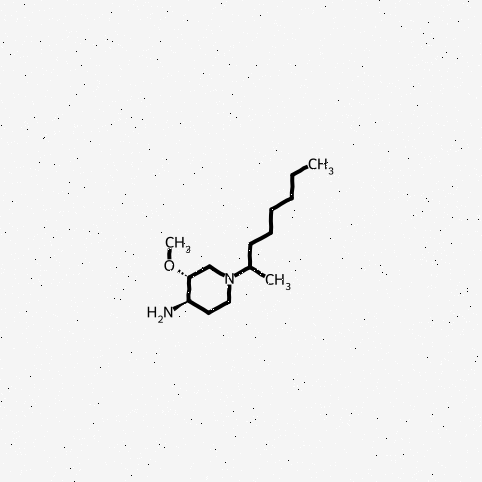 CCCCCCC(C)N1CC[C@@H](N)[C@H](OC)C1